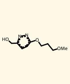 COCCCOc1ccc(CO)nn1